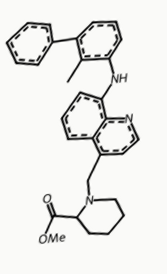 COC(=O)C1CCCCN1Cc1ccnc2c(Nc3cccc(-c4ccccc4)c3C)cccc12